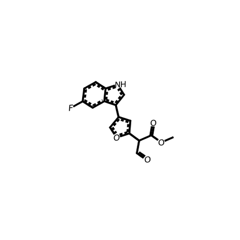 COC(=O)C(C=O)c1cc(-c2c[nH]c3ccc(F)cc23)co1